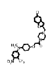 CN(c1ccc([N+](=O)[O-])c(C(F)(F)F)c1)C1CCC(OCC(=O)N2CCN(Cc3cc4cc(Cl)ccc4o3)CC2)CC1